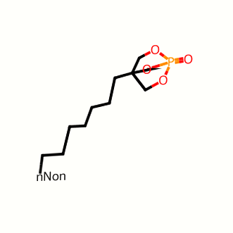 CCCCCCCCCCCCCCCCC12COP(=O)(OC1)OC2